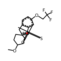 COC1CCC2(CC1)Cc1ccc(OCC(F)(F)F)cc1C21NC(=S)NC1=O